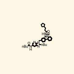 CCCCC(=O)Nc1cnc2c(c1)nc(CCCC)n2Cc1ccc(-c2ccccc2S(=O)(=O)NC(=O)CCC2CCCC2)cc1